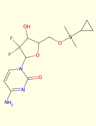 C[Si](C)(OCC1OC(n2ccc(N)nc2=O)C(F)(F)C1O)C1CC1